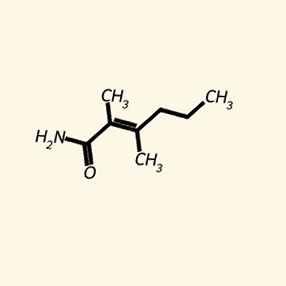 CCC/C(C)=C(\C)C(N)=O